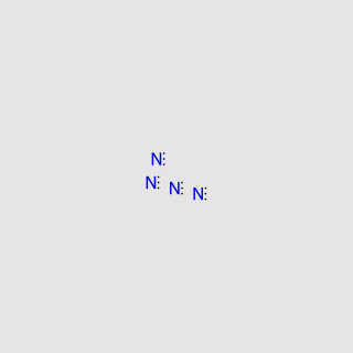 [N].[N].[N].[N]